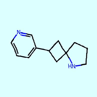 c1cncc(C2CC3(CCCN3)C2)c1